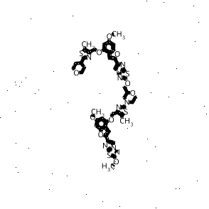 COc1cc(OCc2nc(N3CCOC(COc4nn5cc(-c6cc7c(OCc8nc(C9CCOCC9)sc8C)cc(OC)cc7o6)nc5s4)C3)sc2C)c2cc(-c3cn4nc(OC)sc4n3)oc2c1